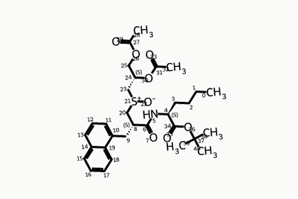 CCCC[C@H](NC(=O)[C@H](Cc1cccc2ccccc12)C[S+]([O-])C[C@H](COC(C)=O)OC(C)=O)C(=O)OC(C)(C)C